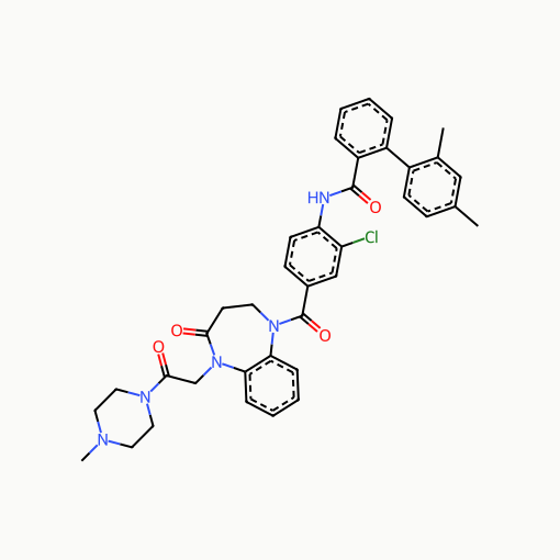 Cc1ccc(-c2ccccc2C(=O)Nc2ccc(C(=O)N3CCC(=O)N(CC(=O)N4CCN(C)CC4)c4ccccc43)cc2Cl)c(C)c1